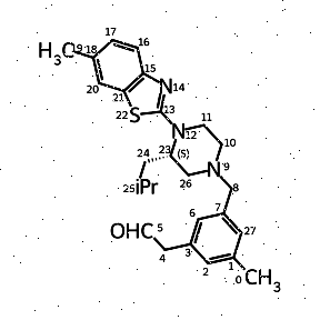 Cc1cc(CC=O)cc(CN2CCN(c3nc4ccc(C)cc4s3)[C@@H](CC(C)C)C2)c1